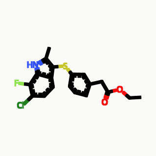 CCOC(=O)Cc1cccc(Sc2c(C)[nH]c3c(F)c(Cl)ccc23)c1